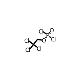 O=P(Cl)(Cl)OCC(Cl)(Cl)Cl